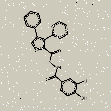 O=C(NNC(=O)c1occ(-c2ccccc2)c1-c1ccccc1)c1ccc(O)c(Cl)c1